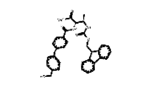 COC(=O)[C@@H](NC(=O)c1ccc(-c2ccc(CO)cc2)cc1)[C@@H](C)NC(=O)OCC1c2ccccc2-c2ccccc21